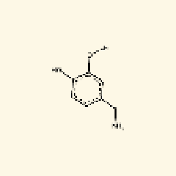 CCOc1cc(CN)ccc1O